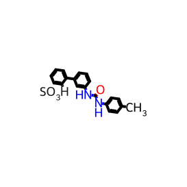 Cc1ccc(NC(=O)Nc2cccc(-c3ccccc3S(=O)(=O)O)c2)cc1